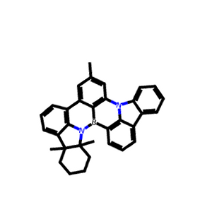 Cc1cc2c3c(c1)-n1c4ccccc4c4cccc(c41)B3N1c3c-2cccc3C2(C)CCCCC12C